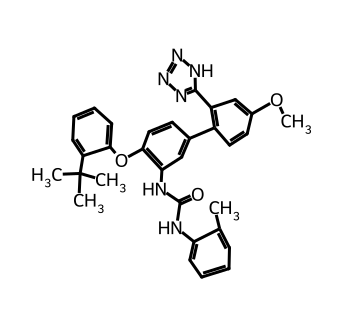 COc1ccc(-c2ccc(Oc3ccccc3C(C)(C)C)c(NC(=O)Nc3ccccc3C)c2)c(-c2nnn[nH]2)c1